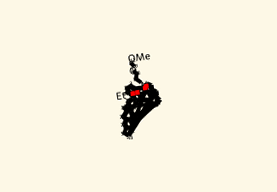 CCc1ccc(C2N(CCOCCOC)CC3C4=c5c6c7c8c(cc9cc%10cc%11cc%12cc%13c%14c(c5c5c6c6c8c9c8c%10c%11c9c%12c%14c5c9c86)=C(C4)C%13)CC732)cc1